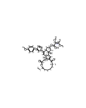 CC[C@H]1CCCC[C@@H](C)C(=O)C2=CC3C(C=C(n4cc(-c5ccc(OC)cc5)nn4)C4C[C@@H](O[C@H](O)/C(OC)=C(/C)OC)C[C@H]43)[C@@H]2CC(=O)O1